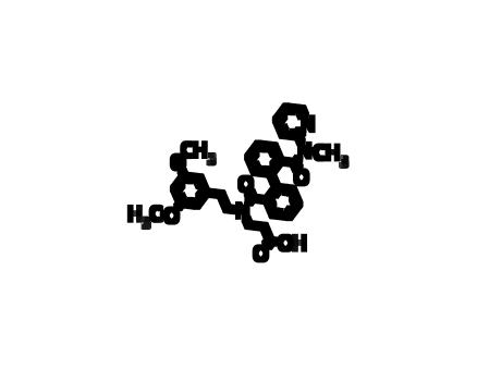 COc1cc(CCN(CCC(=O)O)C(=O)c2ccccc2-c2ccccc2C(=O)N(C)c2ccccn2)cc(OC)c1